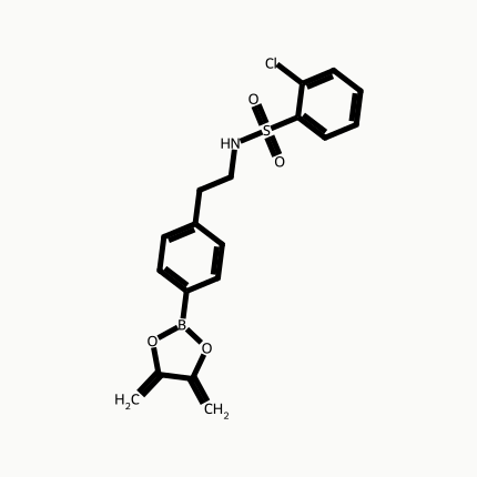 C=C1OB(c2ccc(CCNS(=O)(=O)c3ccccc3Cl)cc2)OC1=C